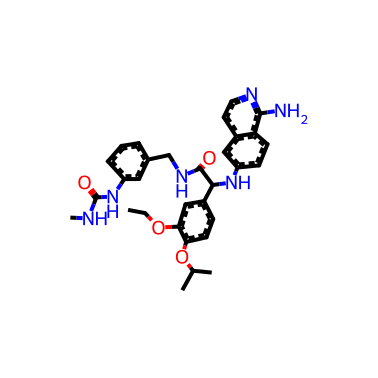 CCOc1cc(C(Nc2ccc3c(N)nccc3c2)C(=O)NCc2cccc(NC(=O)NC)c2)ccc1OC(C)C